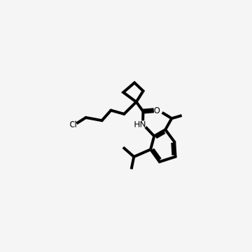 CC(C)c1cccc(C(C)C)c1NC(=O)C1(CCCCCl)CCC1